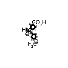 O=C(O)c1ccc2c(c1)[nH]c(=O)n2-c1ccc(OC(F)(F)F)cc1